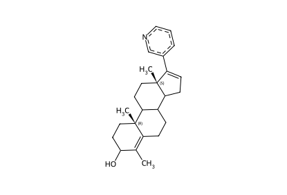 CC1=C2CCC3C(CC[C@]4(C)C(c5cccnc5)=CCC34)[C@@]2(C)CCC1O